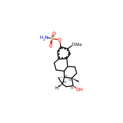 COc1cc2c(cc1OS(N)(=O)=O)CCC1C2CC[C@]2(C)[C@@H](O)C[C@@H]3C[C@@]132